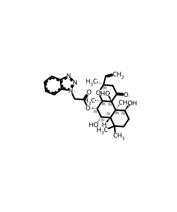 C=C[C@@]1(C)CC(=O)[C@]2(O)[C@@]3(C)[C@@H](O)CCC(C)(C)[C@@H]3[C@H](O)[C@H](OC(=O)Cn3nnc4ccccc43)[C@@]2(C)O1